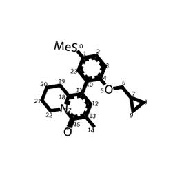 CSc1ccc(OCC2CC2)c(-c2cc(C)c(=O)n3c2CCCC3)c1